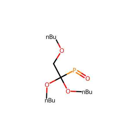 CCCCOCC(OCCCC)(OCCCC)P=O